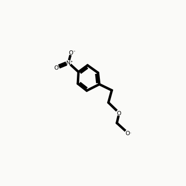 [O]COCCc1ccc([N+](=O)[O-])cc1